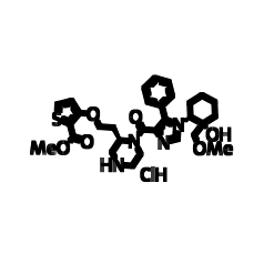 COC[C@]1(O)CCCC[C@H]1n1cnc(C(=O)N2CCNC[C@H]2CCOc2ccsc2C(=O)OC)c1-c1ccccc1.Cl